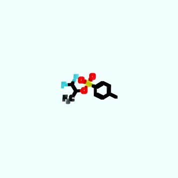 Cc1ccc(S(=O)(=O)OC(C(F)F)C(F)(F)F)cc1